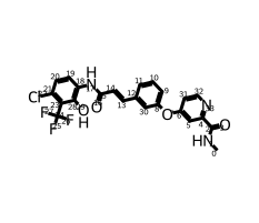 CNC(=O)c1cc(Oc2cccc(/C=C/C(=O)Nc3ccc(Cl)c(C(F)(F)F)c3O)c2)ccn1